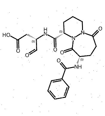 O=C[C@H](CC(=O)O)NC(=O)[C@@H]1CCCN2C(=O)CC[C@H](NC(=O)c3ccccc3)C(=O)N12